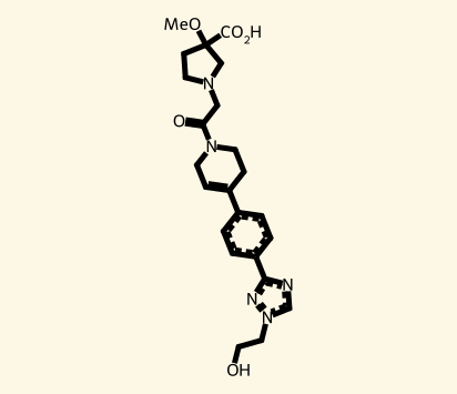 COC1(C(=O)O)CCN(CC(=O)N2CC=C(c3ccc(-c4ncn(CCO)n4)cc3)CC2)C1